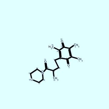 CC1=C(C)C(=O)C(CCC(C)C(=O)N2CCOCC2)=C(C)C1=O